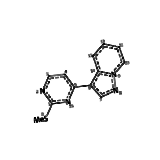 CSc1nccc(-c2cnn3ccccc23)n1